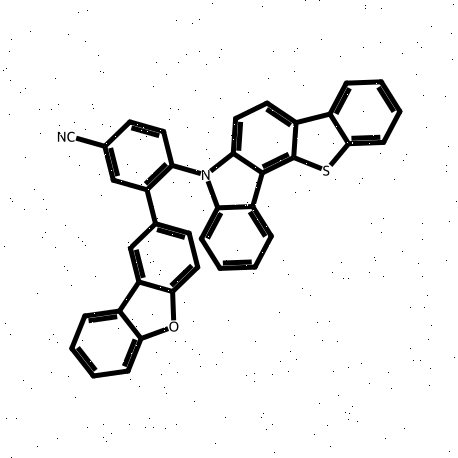 N#Cc1ccc(-n2c3ccccc3c3c4sc5ccccc5c4ccc32)c(-c2ccc3oc4ccccc4c3c2)c1